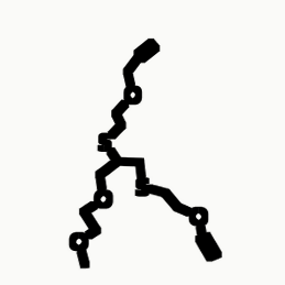 C#CCOCCSC(COCCOC)CSCCOC#C